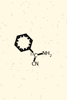 N#C[13CH](N)c1ccccc1